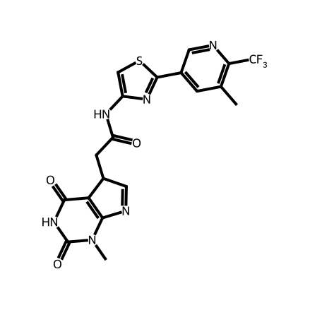 Cc1cc(-c2nc(NC(=O)CC3C=Nc4c3c(=O)[nH]c(=O)n4C)cs2)cnc1C(F)(F)F